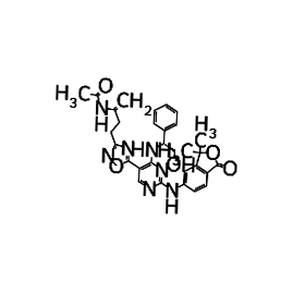 C=C(CCc1noc(-c2cnc(Nc3ccc4c(c3)C(C)(C)OC4=O)nc2N[C@H](CO)c2ccccc2)n1)NC(C)=O